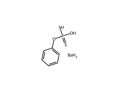 OP(=S)(S)Oc1ccccc1.[BaH2]